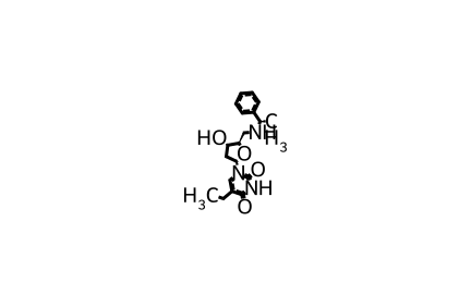 CCc1cn([C@H]2C[C@H](O)[C@@H](CN[C@H](C)c3ccccc3)O2)c(=O)[nH]c1=O